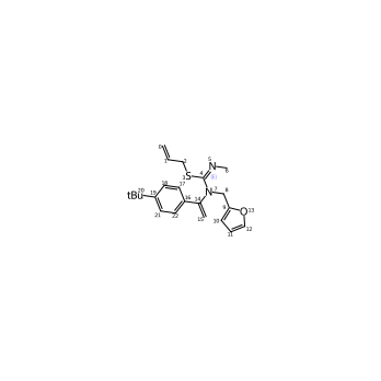 C=CCS/C(=N/C)N(Cc1ccco1)C(=C)c1ccc(C(C)(C)C)cc1